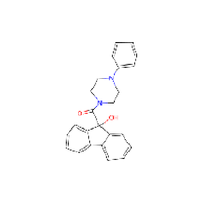 O=C(N1CCN(c2ccccc2)CC1)C1(O)c2ccccc2-c2ccccc21